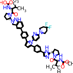 COC(=O)N[C@H](C(=O)N1CCC[C@H]1c1ncc(-c2ccc(-c3ccc(-c4ccc(-c5ccc6c(c5)CN([C@H]5CCCN5C(=O)[C@@H](NC(=O)O)C(C)C)N6)cc4)n3-c3ccc(N4CCC(F)(F)CC4)nc3)cc2)[nH]1)C(C)C